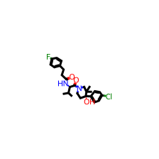 CC(C)[C@@H](NC(=O)CCc1ccc(F)cc1)C(=O)N1CC[C@](O)(c2ccc(Cl)cc2)C(C)(C)C1